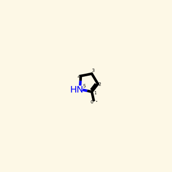 [CH2]C1=CCCN1